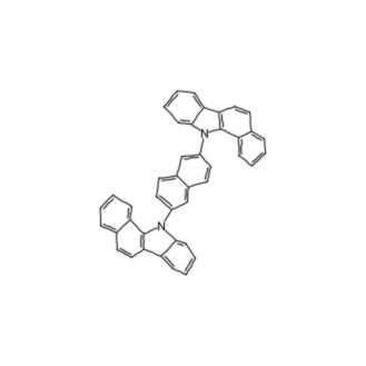 c1ccc2c(c1)ccc1c3ccccc3n(-c3ccc4cc(-n5c6ccccc6c6ccc7ccccc7c65)ccc4c3)c21